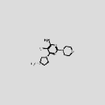 C[C@H]1CCN(c2nc(N3CCOCC3)nc(N)c2N)C1